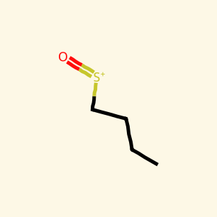 CCCC[S+]=O